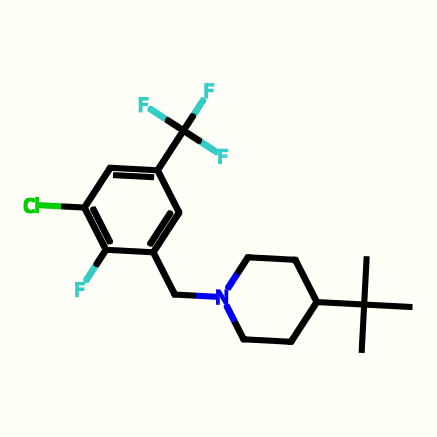 CC(C)(C)C1CCN(Cc2cc(C(F)(F)F)cc(Cl)c2F)CC1